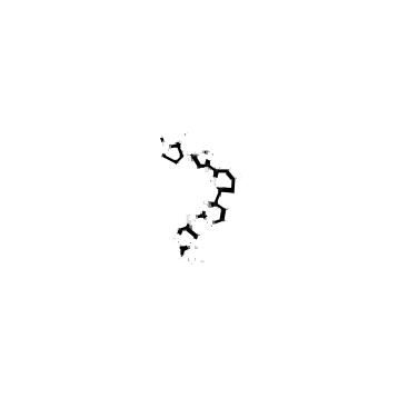 COc1ncc(Nc2nccc(-c3cccc(-c4cc([C@@H]5CCN(C)C5=O)on4)n3)n2)cn1